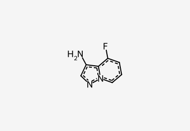 Nc1cnn2cccc(F)c12